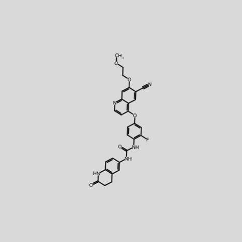 COCCOc1cc2nccc(Oc3ccc(NC(=O)Nc4ccc5c(c4)CCC(=O)N5)c(F)c3)c2cc1C#N